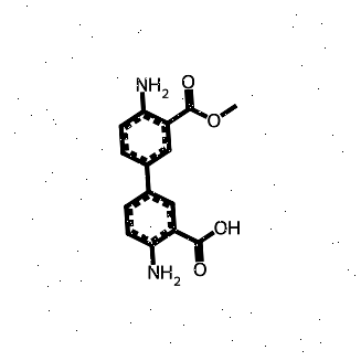 COC(=O)c1cc(-c2ccc(N)c(C(=O)O)c2)ccc1N